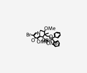 COCOC1c2c(OC)c(=O)c(Br)cn2CC(OC)C1(C)CO[Si](c1ccccc1)(c1ccccc1)C(C)(C)C